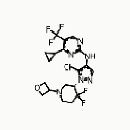 FC(F)(F)c1cnc(Nc2cnn([C@H]3CN(C4COC4)CCC3(F)F)c2Cl)nc1C1CC1